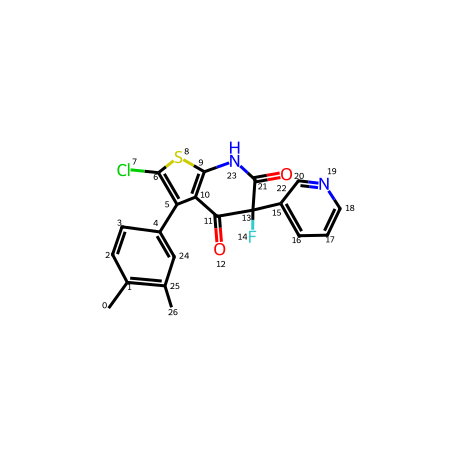 Cc1ccc(-c2c(Cl)sc3c2C(=O)C(F)(c2cccnc2)C(=O)N3)cc1C